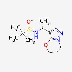 C[C@@H](N[S+]([O-])C(C)(C)C)c1cnn2c1OCCC2